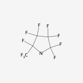 FC(F)(F)C1(F)[N]C(F)(F)C(F)(F)C1(F)F